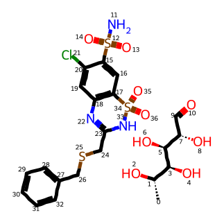 C[C@H](O)[C@H](O)[C@@H](O)[C@@H](O)C=O.NS(=O)(=O)c1cc2c(cc1Cl)N=C(CSCc1ccccc1)NS2(=O)=O